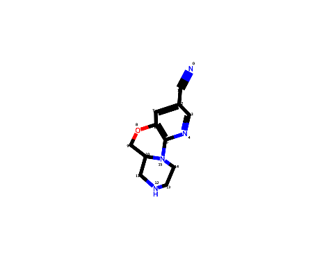 N#Cc1cnc2c(c1)OCC1CNCCN21